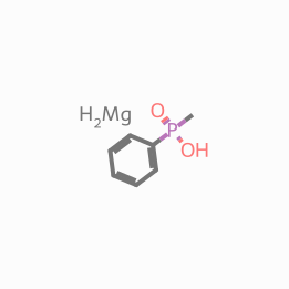 CP(=O)(O)c1ccccc1.[MgH2]